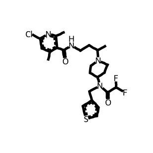 Cc1cc(Cl)nc(C)c1C(=O)NCCC(C)N1CCC(N(Cc2ccsc2)C(=O)C(F)F)CC1